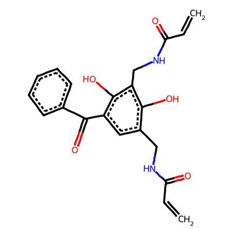 C=CC(=O)NCc1cc(C(=O)c2ccccc2)c(O)c(CNC(=O)C=C)c1O